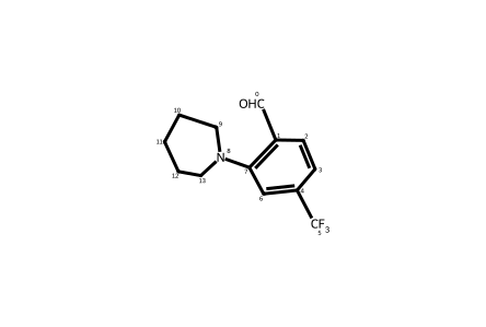 O=Cc1ccc(C(F)(F)F)cc1N1CCCCC1